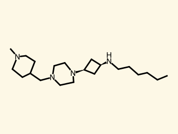 CCCCCCN[C@H]1C[C@@H](N2CCN(CC3CCN(C)CC3)CC2)C1